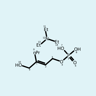 CCC/C(=C\COP(=O)(O)O)CO.CCN(CC)CC